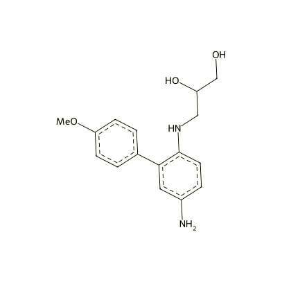 COc1ccc(-c2cc(N)ccc2NCC(O)CO)cc1